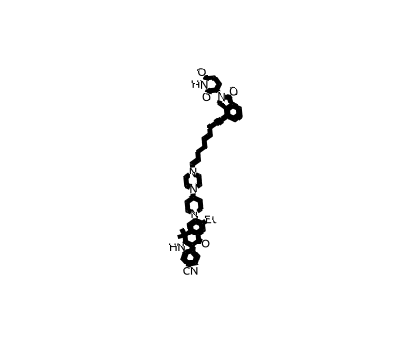 CCc1cc2c(cc1N1CCC(N3CCN(CCCCCCCC#Cc4cccc5c4CN(C4CCC(=O)NC4=O)C5=O)CC3)CC1)C(C)(C)c1[nH]c3cc(C#N)ccc3c1C2=O